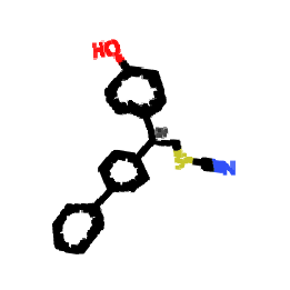 N#CSC[C@H](c1ccc(O)cc1)c1ccc(-c2ccccc2)cc1